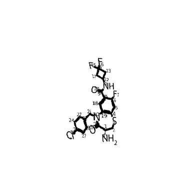 N[C@H]1CSc2cc(F)c(C(=O)NC3CC(F)(F)C3)cc2N(Cc2ccc(Cl)cc2)C1=O